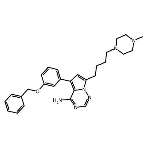 CN1CCN(CCCCc2cc(-c3cccc(OCc4ccccc4)c3)c3c(N)ncnn23)CC1